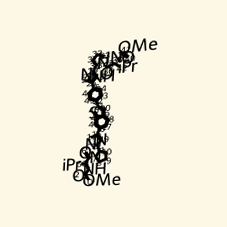 COC(=O)NC(C(=O)N1CCCC1C1=NCC(c2ccc3cc(-c4ccc(-c5cnc(C6CCCN6C(=O)C(NC(=O)OC)C(C)C)[nH]5)cc4)sc3c2)=N1)C(C)C